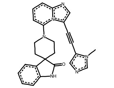 Cn1cncc1C#Cc1cnc2cccc(N3CCC4(CC3)C(=O)Nc3ccccc34)n12